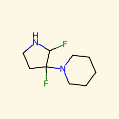 FC1NCCC1(F)N1CCCCC1